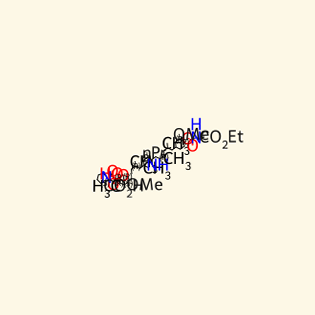 CCC[C@H](CC(C)C[C@H](C)CC[C@H]1O[C@@](O)(C(=O)C(=O)N2CCCC[C@H]2C(=O)O)[C@H](C)C[C@@H]1OC)C(=N)CC[C@@H](C)CC(C)CC1CC[C@@H](OC(=O)NCC(=O)OCC)[C@H](OC)C1